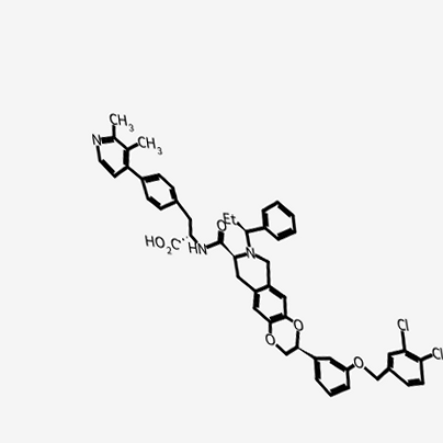 CC[C@@H](c1ccccc1)N1Cc2cc3c(cc2C[C@H]1C(=O)N[C@@H](Cc1ccc(-c2ccnc(C)c2C)cc1)C(=O)O)OC[C@H](c1cccc(OCc2ccc(Cl)c(Cl)c2)c1)O3